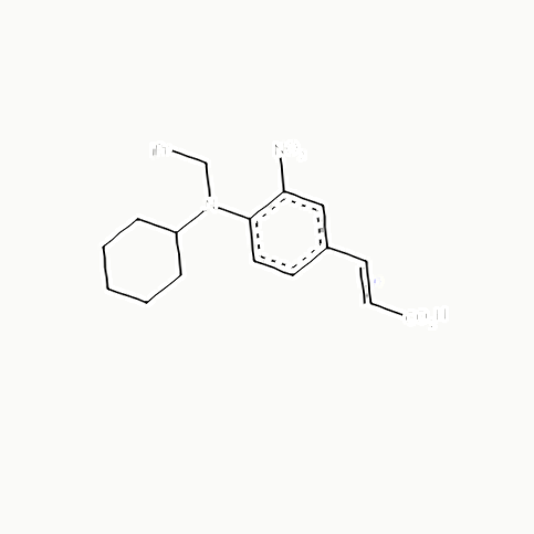 CC(C)CN(c1ccc(/C=C/C(=O)O)cc1[N+](=O)[O-])C1CCCCC1